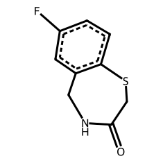 O=C1CSc2ccc(F)cc2CN1